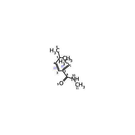 C/C=C(\C=C/C(C)C)C(=O)NC